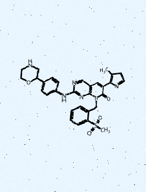 CC1=C(c2cc3cnc(Nc4ccc(C5CNCCO5)cc4)nc3n(Cc3ccccc3S(C)(=O)=O)c2=O)N=CC1